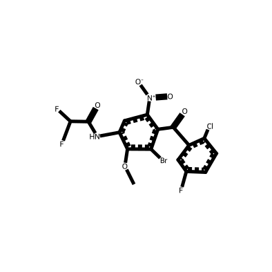 COc1c(NC(=O)C(F)F)cc([N+](=O)[O-])c(C(=O)c2cc(F)ccc2Cl)c1Br